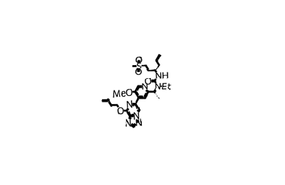 C=CCCOc1nc(-c2cc([C@@H](C)N(CC)C(=O)N[C@H](CC=C)CCS(C)(=O)=O)ncc2OC)cn2ncnc12